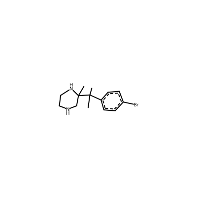 CC1(C(C)(C)c2ccc(Br)cc2)CNCCN1